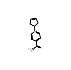 NC(=S)c1cc[n+](C2CC=CC2)cc1